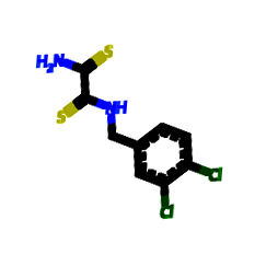 NC(=S)C(=S)NCc1ccc(Cl)c(Cl)c1